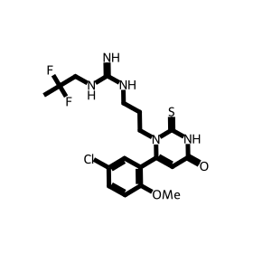 COc1ccc(Cl)cc1-c1cc(=O)[nH]c(=S)n1CCCNC(=N)NCC(C)(F)F